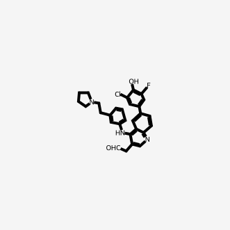 O=CCc1cnc2ccc(-c3cc(F)c(O)c(Cl)c3)cc2c1Nc1cccc(CCN2CCCC2)c1